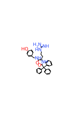 N=C(N)NCCC[C@@H](NC(=O)C(c1ccccc1)(c1ccccc1)c1ccccc1)C(=O)NCc1ccc(O)cc1